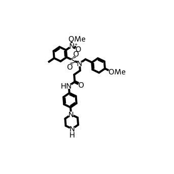 COC1C=CC(CN(CCC(=O)Nc2ccc(N3CCNCC3)cc2)S(=O)(=O)C2=C([N+](=O)OC)C=CC(C)C2)=CC1